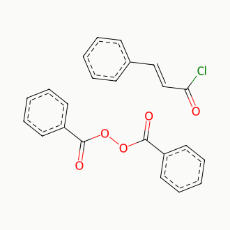 O=C(Cl)C=Cc1ccccc1.O=C(OOC(=O)c1ccccc1)c1ccccc1